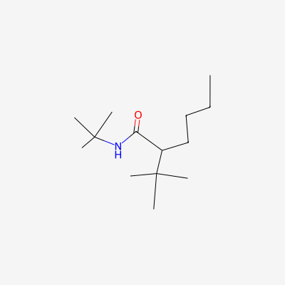 CCCCC(C(=O)NC(C)(C)C)C(C)(C)C